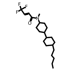 CCCCCC1CCC(C2CCC(N(C)C(=O)/C=C/C(F)(F)F)CC2)CC1